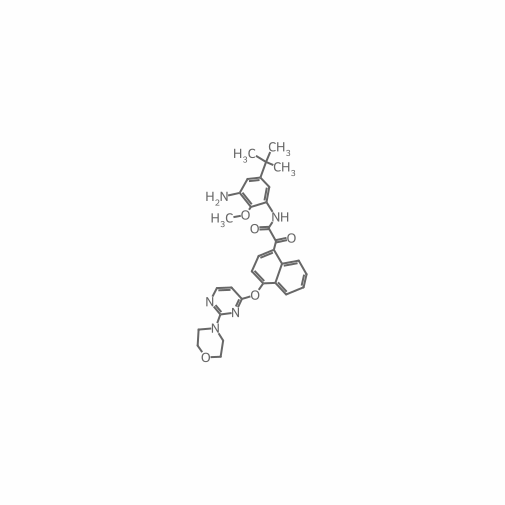 COc1c(N)cc(C(C)(C)C)cc1NC(=O)C(=O)c1ccc(Oc2ccnc(N3CCOCC3)n2)c2ccccc12